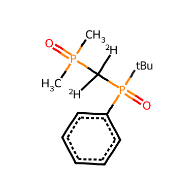 [2H]C([2H])(P(C)(C)=O)P(=O)(c1ccccc1)C(C)(C)C